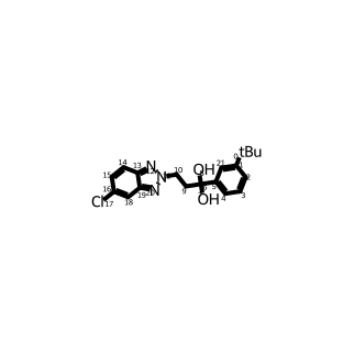 CC(C)(C)c1cccc(C(O)(O)CCn2nc3ccc(Cl)cc3n2)c1